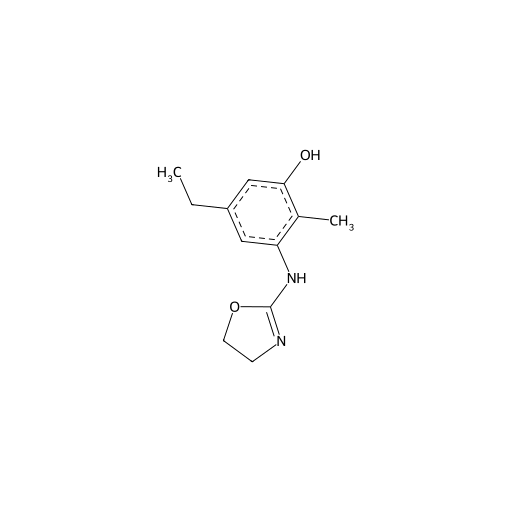 CCc1cc(O)c(C)c(NC2=NCCO2)c1